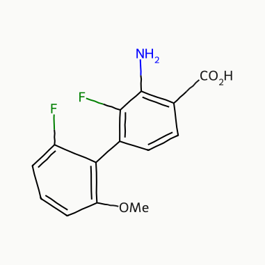 COc1cccc(F)c1-c1ccc(C(=O)O)c(N)c1F